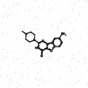 Bc1ccc2oc3c(=O)[nH]c(N4CCN(C)CC4)nc3c2c1